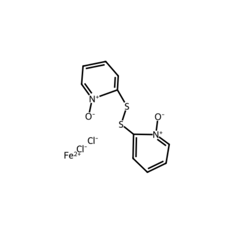 [Cl-].[Cl-].[Fe+2].[O-][n+]1ccccc1SSc1cccc[n+]1[O-]